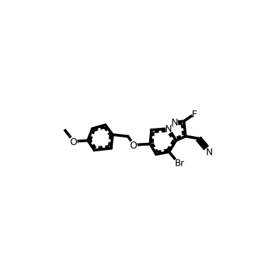 COc1ccc(COc2cc(Br)c3c(C#N)c(F)nn3c2)cc1